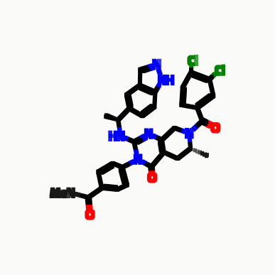 CNC(=O)c1ccc(-n2c(N[C@@H](C)c3ccc4[nH]ncc4c3)nc3c(c2=O)C[C@@H](C)N(C(=O)c2ccc(Cl)c(Cl)c2)C3)cc1